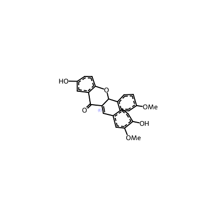 COc1ccc(C2Oc3ccc(O)cc3C(=O)/C2=C/c2ccc(O)c(OC)c2)cc1